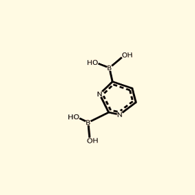 OB(O)c1ccnc(B(O)O)n1